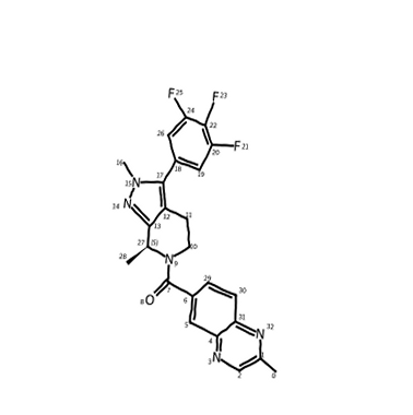 Cc1cnc2cc(C(=O)N3CCc4c(nn(C)c4-c4cc(F)c(F)c(F)c4)[C@@H]3C)ccc2n1